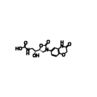 O=C(O)NC[C@@H](O)[C@H]1CN(c2ccc3c(c2)NC(=O)CO3)C(=O)O1